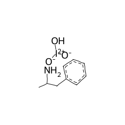 CC(N)Cc1ccccc1.[O-][I+2]([O-])O